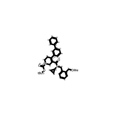 COCc1ccccc1CN(C(=O)C1=C(c2cccc(-c3ccccc3)c2)CCN(C(=O)OC(C)(C)C)C1)C1CC1